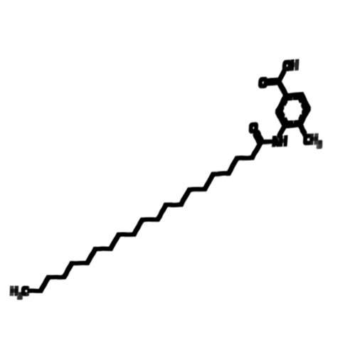 CCCCCCCCCCCCCCCCCCCCC(=O)Nc1cc(C(=O)O)ccc1C